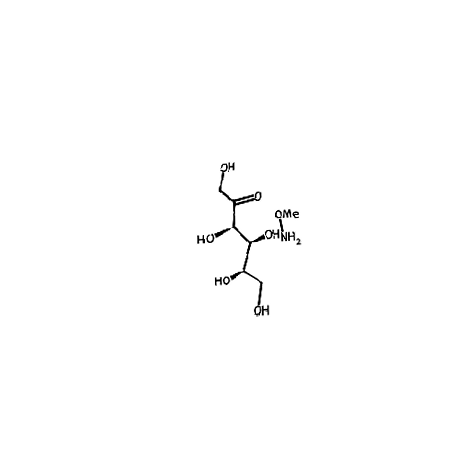 CON.O=C(CO)[C@H](O)[C@@H](O)[C@H](O)CO